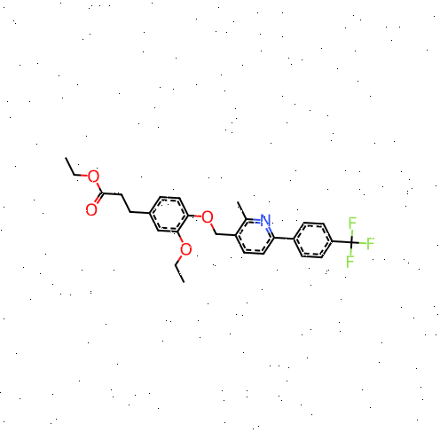 CCOC(=O)CCc1ccc(OCc2ccc(-c3ccc(C(F)(F)F)cc3)nc2C)c(OCC)c1